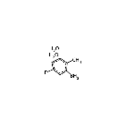 Bc1cc(F)ccc1C.O.O